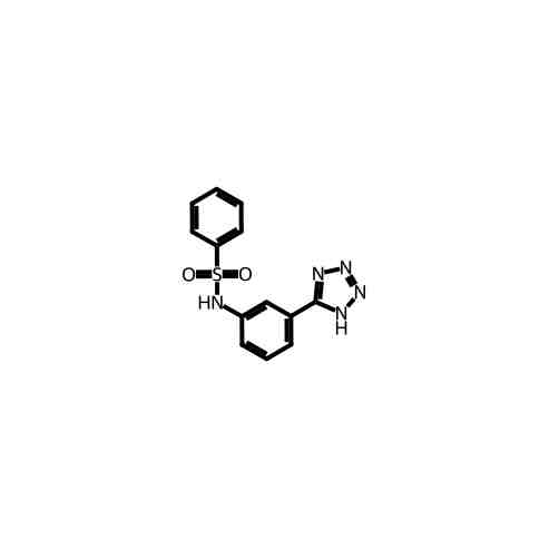 O=S(=O)(Nc1cccc(-c2nnn[nH]2)c1)c1ccccc1